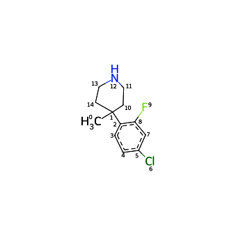 CC1(c2ccc(Cl)cc2F)CCNCC1